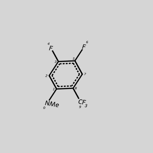 CNc1cc(F)c(F)cc1C(F)(F)F